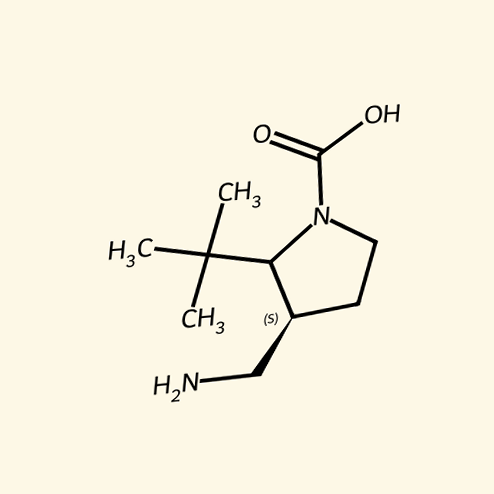 CC(C)(C)C1[C@H](CN)CCN1C(=O)O